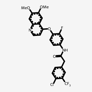 COc1cc2nccc(Oc3ccc(NC(=O)Cc4ccc(Cl)c(C(F)(F)F)c4)cc3F)c2cc1OC